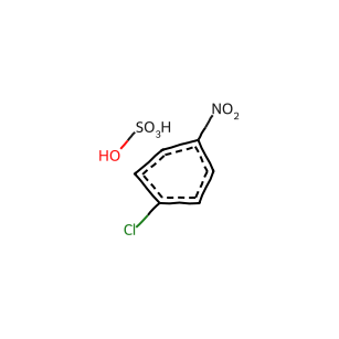 O=S(=O)(O)O.O=[N+]([O-])c1ccc(Cl)cc1